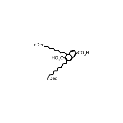 CCCCCCCCCCCCCCCCCCc1cc2cc(C(=O)O)ccc2c(CCCCCCCCCCCCCCCCCC)c1C(=O)O